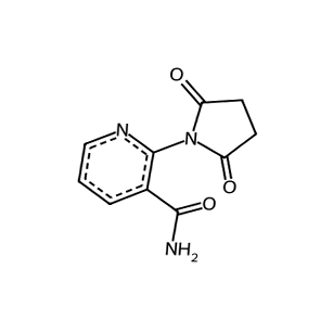 NC(=O)c1cccnc1N1C(=O)CCC1=O